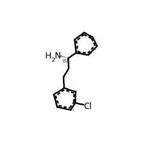 N[C@@H](CCc1cc[c]c(Cl)c1)c1ccccc1